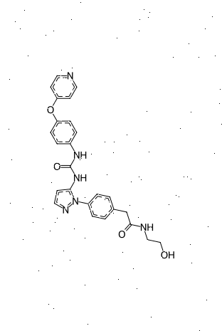 O=C(Cc1ccc(-n2nccc2NC(=O)Nc2ccc(Oc3ccncc3)cc2)cc1)NCCO